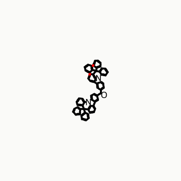 O=C(c1ccc2c(c1)c1cccc3c1n2-c1ccccc1C3(c1ccccc1)c1ccccc1)c1ccc2c(c1)c1cccc3c1n2-c1ccccc1C3(c1ccccc1)c1ccccc1